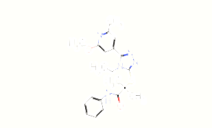 CCn1c(SC(C)(C)C(=O)Nc2ccccc2)nnc1-c1cc(C)nc(OC)c1